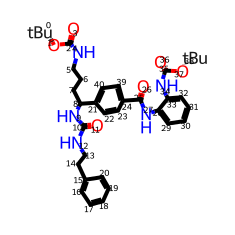 CC(C)(C)OC(=O)NCCCC(NC(=O)NCCc1ccccc1)c1ccc(C(=O)Nc2ccccc2NC(=O)OC(C)(C)C)cc1